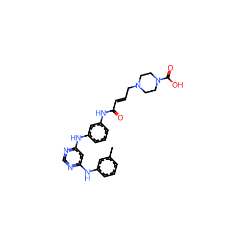 Cc1cccc(Nc2cc(Nc3cccc(NC(=O)/C=C/CN4CCN(C(=O)O)CC4)c3)ncn2)c1